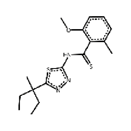 CCC(C)(CC)c1nnc(NC(=S)c2c(C)cccc2OC)s1